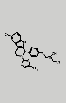 OC[C@H](O)COc1ccc([C@H]2c3[nH]c4ccc(Cl)cc4c3CCN2c2nc(C(F)(F)F)cs2)cc1